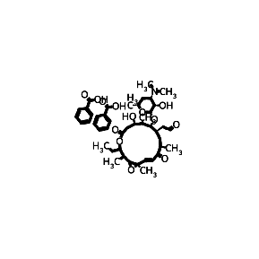 CCC1OC(=O)C[C@@H](O)[C@H](C)[C@@H](O[C@@H]2O[C@H](C)C[C@H](N(C)C)[C@H]2O)[C@@H](CC=O)C[C@@H](C)C(=O)/C=C/[C@]2(C)OC2C1C.O=C(O)c1ccccc1.O=C(O)c1ccccc1